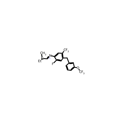 CCN(C)/C=N/c1cc(C(F)(F)F)c(Cc2cccc(OC(F)(F)F)c2)cc1F